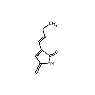 CCC=CC1=CC(=O)NC1=O